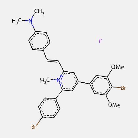 COc1cc(-c2cc(/C=C/c3ccc(N(C)C)cc3)[n+](C)c(-c3ccc(Br)cc3)c2)cc(OC)c1Br.[I-]